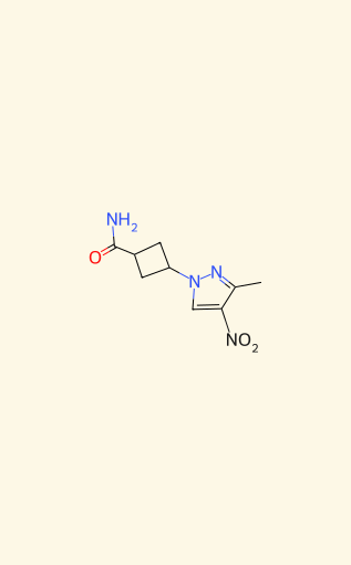 Cc1nn(C2CC(C(N)=O)C2)cc1[N+](=O)[O-]